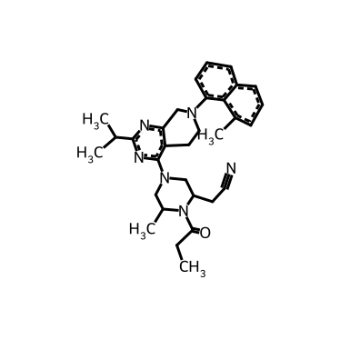 CCC(=O)N1C(C)CN(c2nc(C(C)C)nc3c2CCN(c2cccc4cccc(C)c24)C3)CC1CC#N